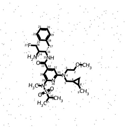 COCCN(CC1CC1C)c1cc(C(=O)N[C@@H](Cc2ccccc2)C(N)CF)cc(N(C)S(=O)(=O)C(C)C)n1